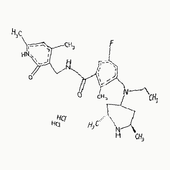 CCN(c1cc(F)cc(C(=O)NCc2c(C)cc(C)[nH]c2=O)c1C)C1C[C@@H](C)N[C@H](C)C1.Cl.Cl